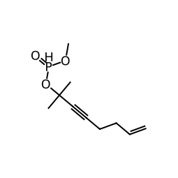 C=CCCC#CC(C)(C)O[PH](=O)OC